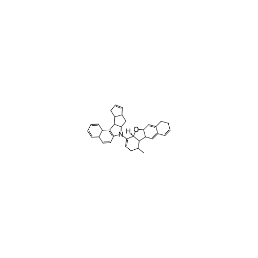 CC1CC=C(N2C3=C(C4C=CC=CC4C=C3)C3C4CC=CC4CC32)[C@@H]2OC3C=C4CCC=CC4=CC3C12